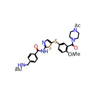 CCC(C)NCc1ccc(C(=O)Nc2ncc(Sc3ccc(OC)c(C(=O)N4CCN(C(C)=O)CC4)c3)s2)cc1